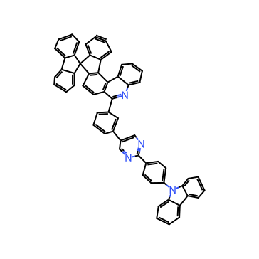 c1cc2c(cc#1)C1(c3ccccc3-c3ccccc31)c1ccc3c(-c4cccc(-c5cnc(-c6ccc(-n7c8ccccc8c8ccccc87)cc6)nc5)c4)nc4ccccc4c3c1-2